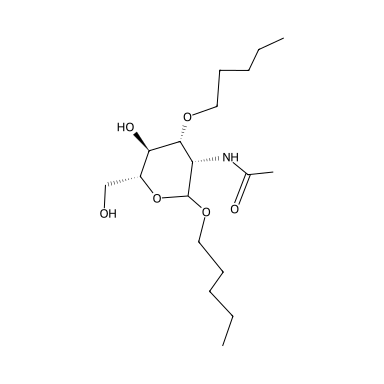 CCCCCOC1O[C@H](CO)[C@@H](O)[C@H](OCCCCC)[C@@H]1NC(C)=O